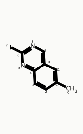 Cc1ccc2nc(I)ncc2c1